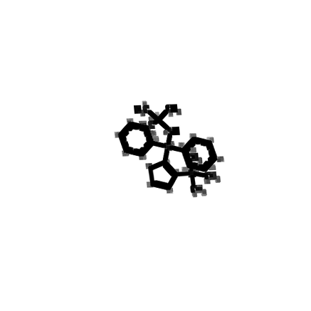 CC(C)(C)N[Si](C1=C([Si](C)(C)C)C=CC1)(c1ccccc1)c1ccccc1